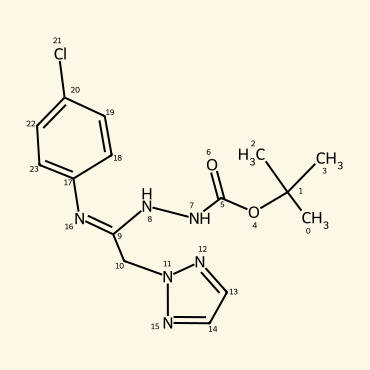 CC(C)(C)OC(=O)NN/C(Cn1nccn1)=N\c1ccc(Cl)cc1